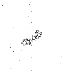 COc1cccc2cc(CNCCNC(=O)C3(C)CCCCC3)oc12